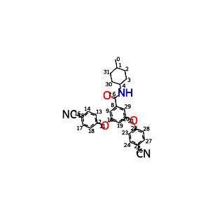 CC1CCC(NC(=O)c2cc(Oc3ccc(C#N)cc3)cc(Oc3ccc(C#N)cc3)c2)CC1